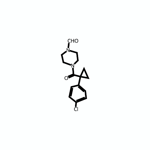 O=CN1CCN(C(=O)C2(c3ccc(Cl)cc3)CC2)CC1